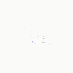 CCCCCCOc1nc(C)c(-c2ccc(OC)cc2C)nc1NC